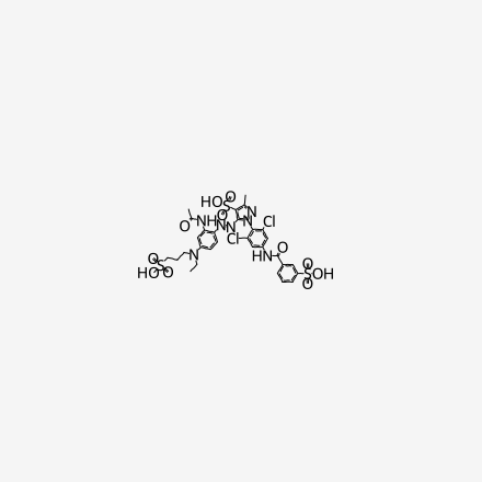 CCN(CCCS(=O)(=O)O)c1ccc(/N=N/c2c(S(=O)(=O)O)c(C)nn2-c2c(Cl)cc(NC(=O)c3cccc(S(=O)(=O)O)c3)cc2Cl)c(NC(C)=O)c1